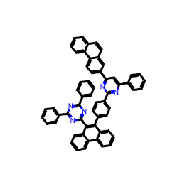 c1ccc(-c2cc(-c3ccc4c(ccc5ccccc54)c3)nc(-c3ccc(-c4c(-c5nc(-c6ccccc6)nc(-c6ccccc6)n5)c5ccccc5c5ccccc45)cc3)n2)cc1